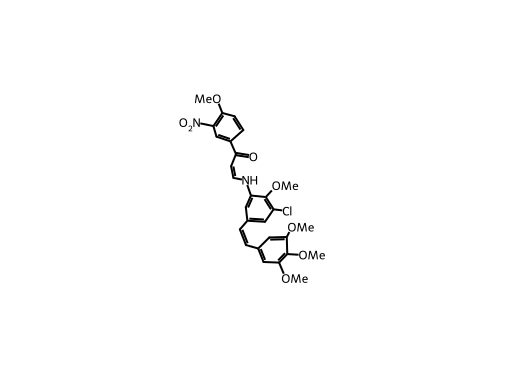 COc1ccc(C(=O)/C=C\Nc2cc(/C=C\c3cc(OC)c(OC)c(OC)c3)cc(Cl)c2OC)cc1[N+](=O)[O-]